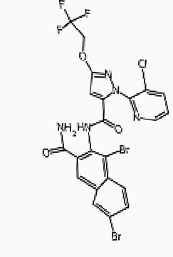 NC(=O)c1cc2cc(Br)ccc2c(Br)c1NC(=O)c1cc(OCC(F)(F)F)nn1-c1ncccc1Cl